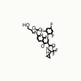 O=C(NC(C1CC1)C(F)(F)F)c1cn(-c2c(F)cc(F)cc2F)c2nc(N3CC(CO)OC3=O)ccc2c1=O